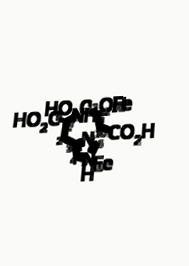 N[C@@H](Cc1c[nH]cn1)C(=O)O.O=C(O)CC(O)C(=O)O.[Fe].[Fe]